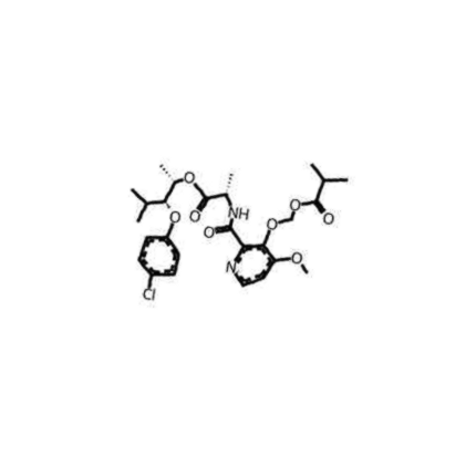 COc1ccnc(C(=O)N[C@@H](C)C(=O)O[C@@H](C)[C@H](Oc2ccc(Cl)cc2)C(C)C)c1OCOC(=O)C(C)C